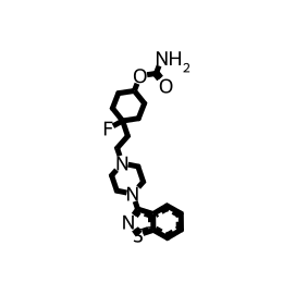 NC(=O)OC1CCC(F)(CCN2CCN(c3nsc4ccccc34)CC2)CC1